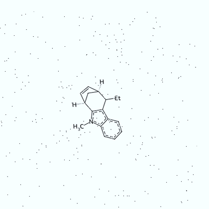 CCC1c2c(n(C)c3ccccc23)[C@H]2C=C[C@@H]1C2